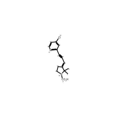 CC1(C)/C(=C/C#Cc2cc(Cl)ccn2)CCN1C(=O)O